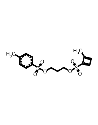 CC1=CC=C1S(=O)(=O)OCCCOS(=O)(=O)c1ccc(C)cc1